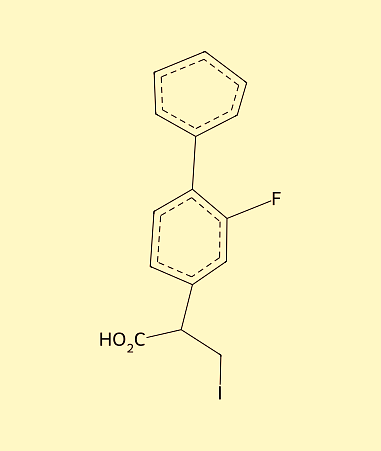 O=C(O)C(CI)c1ccc(-c2ccccc2)c(F)c1